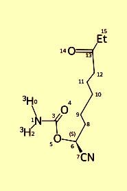 [3H]N([3H])C(=O)O[C@H](C#N)CCCCCC(=O)CC